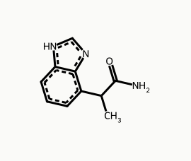 CC(C(N)=O)c1cccc2[nH]cnc12